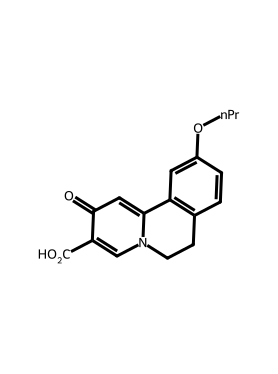 CCCOc1ccc2c(c1)-c1cc(=O)c(C(=O)O)cn1CC2